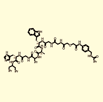 CC(C)CC(CC(C)C)NC(=O)[C@H](Cc1cnc[nH]1)NC(=O)CNC(=O)C(NC(=O)[C@H](C)NC(=O)[C@H](Cc1c[nH]c2ccccc12)NC(=O)CNC(=O)CNC(=O)COCC(=O)Nc1ccc(CNC(=O)C(C)C)cc1)C(C)C